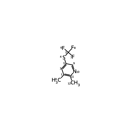 Cc1cc(SC(F)(F)F)cnc1C